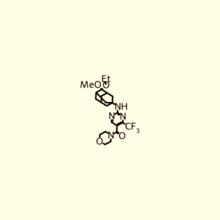 CCOC1(OC)C2CC3CC1CC(Nc1ncc(C(=O)N4CCOCC4)c(C(F)(F)F)n1)(C3)C2